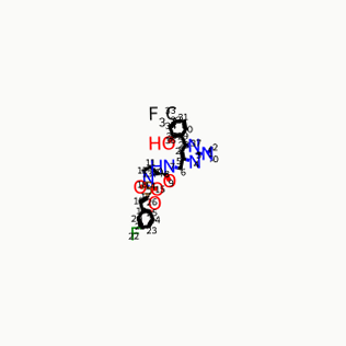 CN(C)c1nc(CNC(=O)[C@@H]2CCN2S(=O)(=O)c2cc3cc(F)ccc3o2)cc(-c2ccc(C(F)(F)F)cc2O)n1